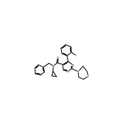 O=C(c1cnc(N2CCSCC2)nc1-c1ccccc1F)N(Cc1ccccc1)C1CC1